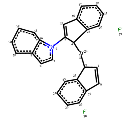 C1=C[CH]([Zr+2][CH]2C(n3ccc4ccccc43)=Cc3ccccc32)c2ccccc21.[F-].[F-]